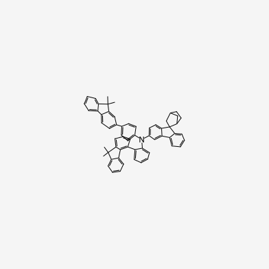 CC1(C)c2ccccc2-c2ccc(-c3ccc(N(c4ccc5c(c4)-c4ccccc4C54CC5CCC4C5)c4ccccc4-c4cccc5c4-c4ccccc4C5(C)C)cc3)cc21